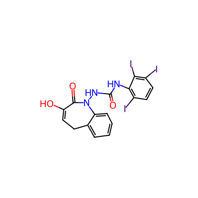 O=C(Nc1c(I)ccc(I)c1I)NN1C(=O)C(O)=CCc2ccccc21